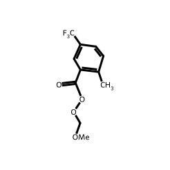 COCOOC(=O)c1cc(C(F)(F)F)ccc1C